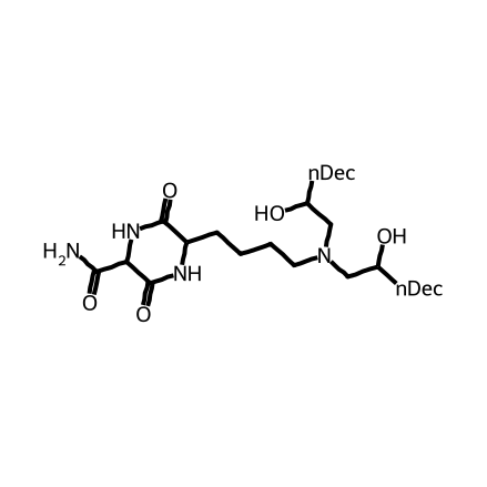 CCCCCCCCCCC(O)CN(CCCCC1NC(=O)C(C(N)=O)NC1=O)CC(O)CCCCCCCCCC